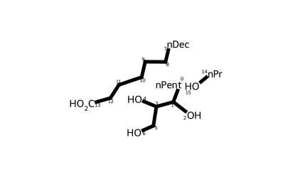 CCCCCC(O)C(O)CO.CCCCCCCCCCCCCCCC(=O)O.CCCO